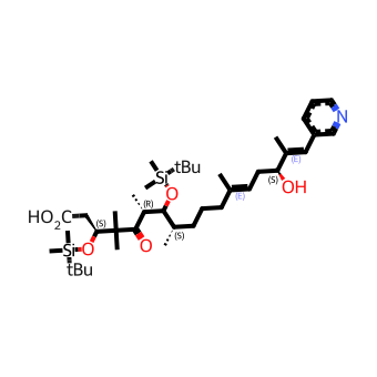 C/C(=C\C[C@H](O)/C(C)=C/c1cccnc1)CCC[C@H](C)C(O[Si](C)(C)C(C)(C)C)[C@@H](C)C(=O)C(C)(C)[C@H](CC(=O)O)O[Si](C)(C)C(C)(C)C